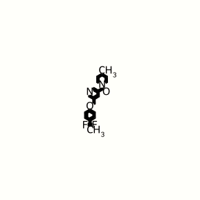 CC1CCN(C(=O)c2cncc(COc3ccc(C(C)(F)F)cc3)c2)CC1